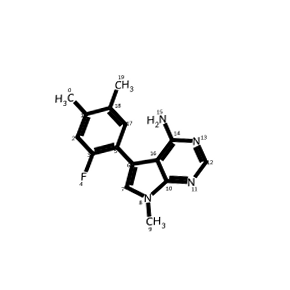 Cc1cc(F)c(-c2cn(C)c3ncnc(N)c23)cc1C